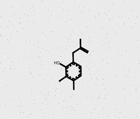 C=C(C)Cc1ccc(C)c(C)c1O